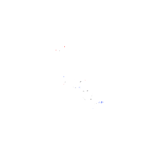 N=C(N)c1ccc(N2CC(C(=O)N3CCC(OCC(=O)O)CC3)OC2=O)cc1